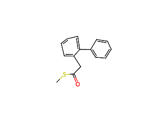 CSC(=O)Cc1ccccc1-c1ccccc1